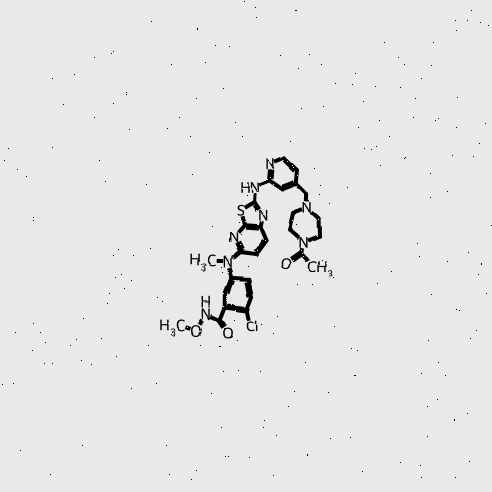 CONC(=O)c1cc(N(C)c2ccc3nc(Nc4cc(CN5CCN(C(C)=O)CC5)ccn4)sc3n2)ccc1Cl